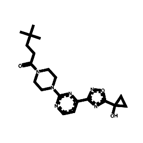 CC(C)(C)CCC(=O)N1CCN(c2nccc(-c3noc(C4(O)CC4)n3)n2)CC1